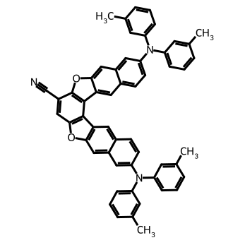 Cc1cccc(N(c2cccc(C)c2)c2ccc3cc4c(cc3c2)oc2cc(C#N)c3oc5cc6cc(N(c7cccc(C)c7)c7cccc(C)c7)ccc6cc5c3c24)c1